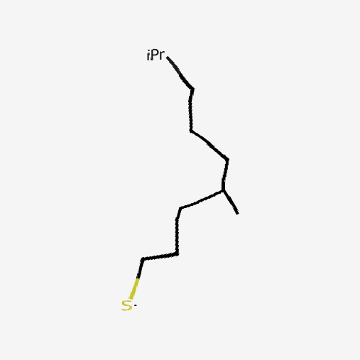 CC(C)CCCC(C)CCC[S]